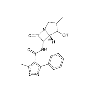 Cc1onc(-c2ccccc2)c1C(=O)NC1C(=O)N2CC(C)C(O)[C@H]12